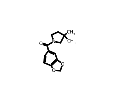 CC1(C)C[CH]N(C(=O)c2ccc3c(c2)OCO3)C1